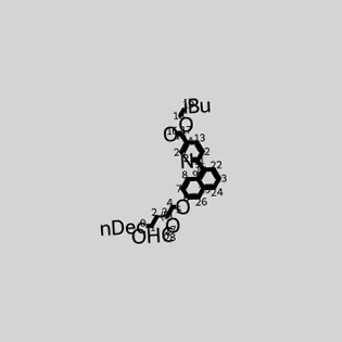 CCCCCCCCCCCC[C@@H](COc1ccc2c(-c3ccc(C(=O)OCC(C)CC)cn3)cccc2c1)OC=O